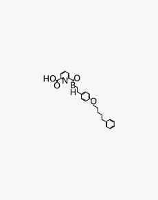 O=C(O)c1cccc(C(=O)BCCc2ccc(OCCCCCc3ccccc3)cc2)n1